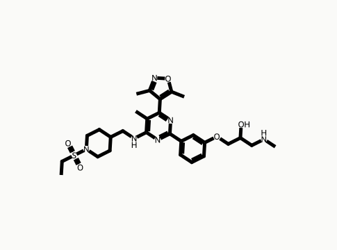 CCS(=O)(=O)N1CCC(CNc2nc(-c3cccc(OCC(O)CNC)c3)nc(-c3c(C)noc3C)c2C)CC1